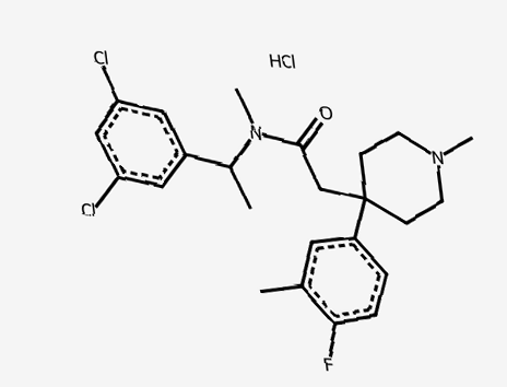 Cc1cc(C2(CC(=O)N(C)C(C)c3cc(Cl)cc(Cl)c3)CCN(C)CC2)ccc1F.Cl